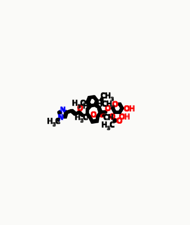 CO[C@]12C=C[C@](C)(O1)[C@@H](CC(=O)/C=C/c1cn(C)cn1)C[C@H]1C(C)=CC[C@H](C(C)C)[C@H]1/C=C\2CO[C@@H]1OC[C@@H](O)[C@@H](O)[C@@H]1OC(C)=O